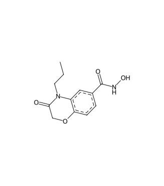 CCCN1C(=O)COc2ccc(C(=O)NO)cc21